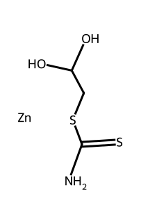 NC(=S)SCC(O)O.[Zn]